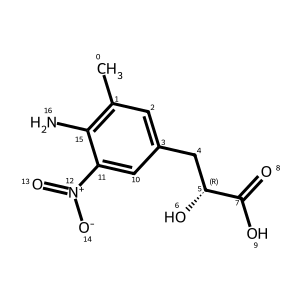 Cc1cc(C[C@@H](O)C(=O)O)cc([N+](=O)[O-])c1N